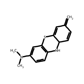 C=C1C=CC2Nc3ccc(N(C)C)cc3SC2=C1